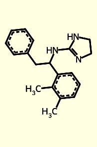 Cc1cccc(C(Cc2ccccc2)NC2=NCCN2)c1C